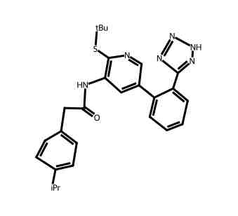 CC(C)c1ccc(CC(=O)Nc2cc(-c3ccccc3-c3nn[nH]n3)cnc2SC(C)(C)C)cc1